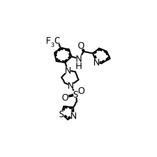 O=C(Nc1cc(C(F)(F)F)ccc1N1CCN(S(=O)(=O)Cc2cscn2)CC1)c1ccccn1